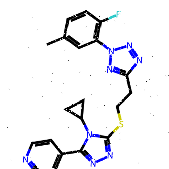 Cc1ccc(F)c(-n2nnc(CCSc3nnc(-c4ccncc4)n3C3CC3)n2)c1